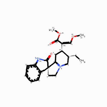 CC[C@@H]1CN2CC[C@]3(C(=O)Nc4ccccc43)C2C[C@@H]1C(=COC)C(=O)OC